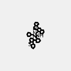 c1ccc(C2NC(c3ccccc3-c3cccc4sc5ccccc5c34)NC(c3c4ccccc4cc4c3ccc3ccccc34)N2)cc1